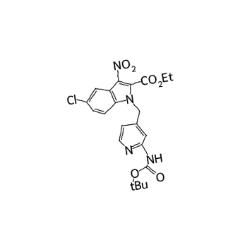 CCOC(=O)c1c([N+](=O)[O-])c2cc(Cl)ccc2n1Cc1ccnc(NC(=O)OC(C)(C)C)c1